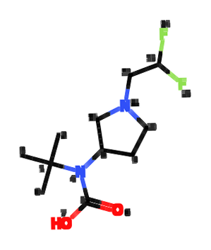 CC(C)(C)N(C(=O)O)C1CCN(CC(F)F)C1